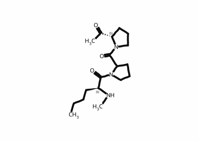 CCCC[C@H](NC)C(=O)N1CCCC1C(=O)N1CCC[C@H]1C(C)=O